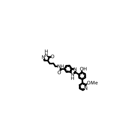 COc1ncccc1-c1ccc(O)c(-c2nc3ccc(C(=O)NCCCC4C=NNC4=O)cc3[nH]2)c1